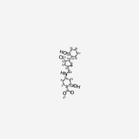 COC(=O)c1ccc(NSc2cc(Cl)c(-c3ccccc3O)s2)cc1O